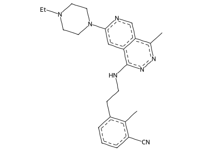 CCN1CCN(c2cc3c(NCCc4cccc(C#N)c4C)nnc(C)c3cn2)CC1